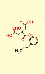 C=CCc1ccccc1.O=C(O)CC(O)(CC(=O)O)C(=O)O